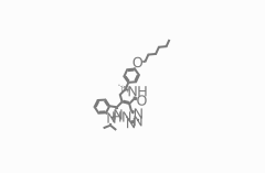 CCCCCCOc1ccc([C@]2(C)CC(c3nn(C(C)C)c4ccccc34)=C(c3nnn[nH]3)C(=O)N2)cc1